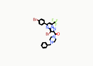 O=C(c1nn2c(C(F)(F)F)cc(-c3ccc(Br)cc3)nc2c1Br)N1CCN(Cc2ccccc2)CC1